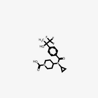 CC(O)(c1ccc(C(=O)N(C2CC2)C2CCN(C(=O)O)CC2)cc1)C(F)(F)F